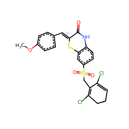 COc1ccc(/C=C2\Sc3cc(S(=O)(=O)CC4=C(Cl)CCC=C4Cl)ccc3NC2=O)cc1